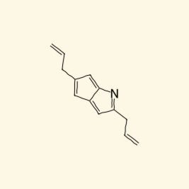 C=CCC1=CC2=CC(CC=C)=NC2=C1